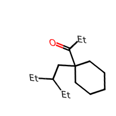 CCC(=O)C1(CC(CC)CC)CCCCC1